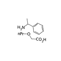 CC(N)c1ccccc1.CCCOCC(=O)O